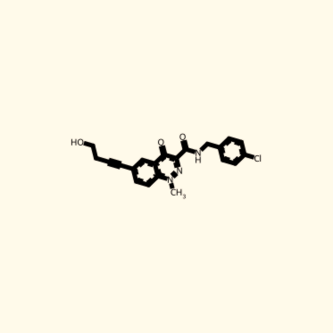 Cn1nc(C(=O)NCc2ccc(Cl)cc2)c(=O)c2cc(C#CCCO)ccc21